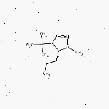 CCCC1N(C)N=CN1C(C)(C)C